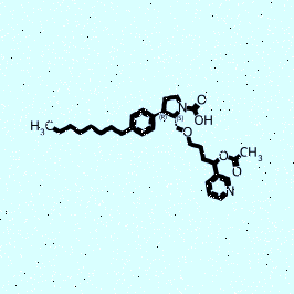 CCCCCCCCc1ccc([C@H]2CCN(C(=O)O)[C@@H]2COCCCC(OC(C)=O)c2cccnc2)cc1